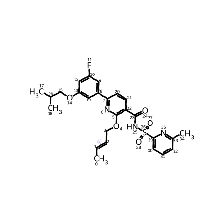 C/C=C/COc1nc(-c2cc(F)cc(OCC(C)C)c2)ccc1C(=O)NS(=O)(=O)c1cccc(C)n1